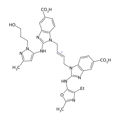 CCc1nc(C)oc1Nc1nc2cc(C(=O)O)ccc2n1C/C=C/Cn1c(Nc2cc(C)nn2CCCO)nc2cc(C(=O)O)ccc21